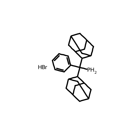 Br.PC(c1ccccc1)(C1C2CC3CC(C2)CC1C3)C1C2CC3CC(C2)CC1C3